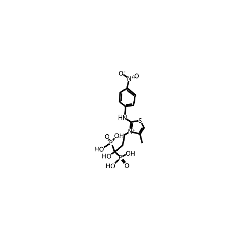 Cc1csc(Nc2ccc([N+](=O)[O-])cc2)[n+]1CCC(O)(P(=O)(O)O)P(=O)(O)O